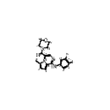 Cc1ccc2c(Nc3ccc(F)c(F)c3)ncc(C(=O)N3CCOCC3)n12